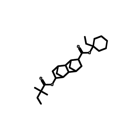 CCC1(OC(=O)C2CC3CC2C2C4CC(OC(=O)C(C)(C)CC)C(C4)C32)CCCCC1